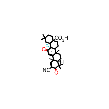 CC1(C)CC[C@]2(C(=O)O)CC[C@@]3(C)[C@]4(C)CC[C@H]5C(C)(C)C(=O)C(C#N)=C[C@]5(C)C4=CC(=O)[C@]3(F)C2C1